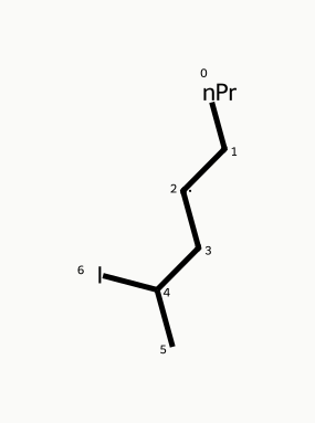 CCCC[CH]CC(C)I